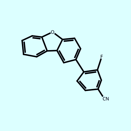 N#Cc1ccc(-c2ccc3oc4ccccc4c3c2)c(F)c1